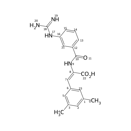 Cc1cc(C)cc(/C=C(/NC(=O)c2cccc(NC(=N)N)c2)C(=O)O)c1